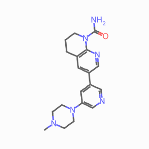 CN1CCN(c2cncc(-c3cnc4c(c3)CCCN4C(N)=O)c2)CC1